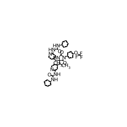 CC(c1ccnc(NC(=O)Nc2ccccc2)c1)C1(C(C)c2ccnc(NC(=O)Nc3ccccc3)c2)NC(=O)N(c2ccc(OC(F)(F)F)cc2)C1=O